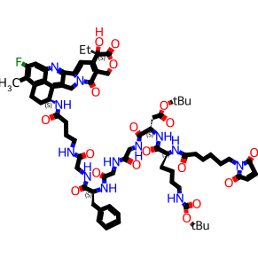 CC[C@@]1(O)C(=O)OCc2c1cc1n(c2=O)Cc2c-1nc1cc(F)c(C)c3c1c2[C@@H](NC(=O)CCCNC(=O)CNC(=O)[C@H](Cc1ccccc1)NC(=O)CNC(=O)CNC(=O)[C@H](CC(=O)OC(C)(C)C)NC(=O)[C@H](CCCCNC(=O)OC(C)(C)C)NC(=O)CCCCCN1C(=O)C=CC1=O)CC3